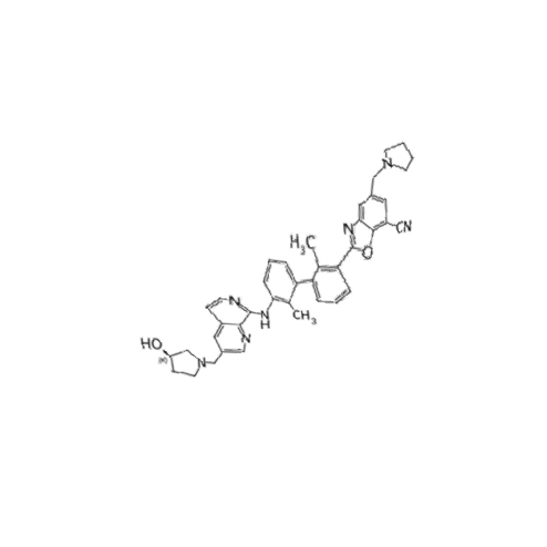 Cc1c(Nc2nccc3cc(CN4CC[C@@H](O)C4)cnc23)cccc1-c1cccc(-c2nc3cc(CN4CCCC4)cc(C#N)c3o2)c1C